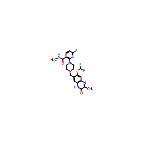 CNC(=O)c1ccc(F)nc1N1CCN(Cc2cc3[nH]c(=O)c(C)nc3cc2OC(F)F)CC1